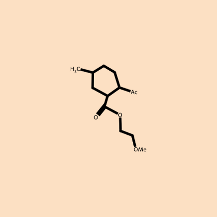 COCCOC(=O)C1CC(C)CCC1C(C)=O